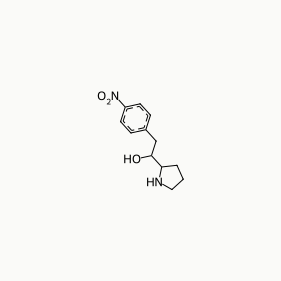 O=[N+]([O-])c1ccc(CC(O)C2CCCN2)cc1